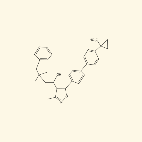 Cc1noc(-c2ccc(-c3ccc(C4(C(=O)O)CC4)cc3)cc2)c1C(O)CC(C)(C)Cc1ccccc1